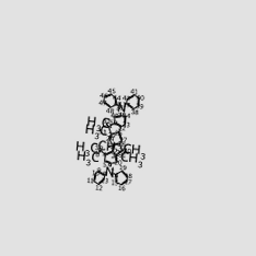 CC(C)(C)c1cc(N(c2ccccc2)c2ccccc2)cc2c1-c1cc3c(cc1C2(C)C)-c1ccc(N(c2ccccc2)c2ccccc2)cc1C3(C)C